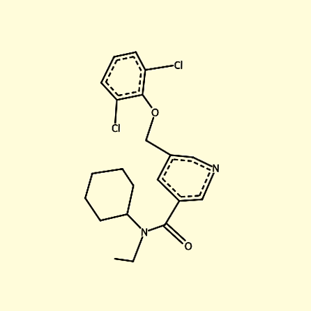 CCN(C(=O)c1cncc(COc2c(Cl)cccc2Cl)c1)C1CCCCC1